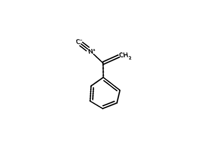 [C-]#[N+]C(=C)c1ccccc1